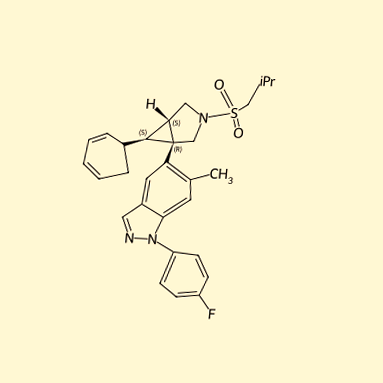 Cc1cc2c(cnn2-c2ccc(F)cc2)cc1[C@]12CN(S(=O)(=O)CC(C)C)C[C@H]1[C@@H]2C1C=CC=CC1